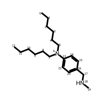 CCCCCCN(CCCCCC)c1ccc(CNC)cc1